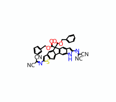 N#CC(C#N)=Nc1cc2cc3c(cc2[nH]1)-c1cc2sc(N=C(C#N)C#N)cc2cc1C3(C(=O)OCc1ccccc1)C(=O)OCc1ccccc1